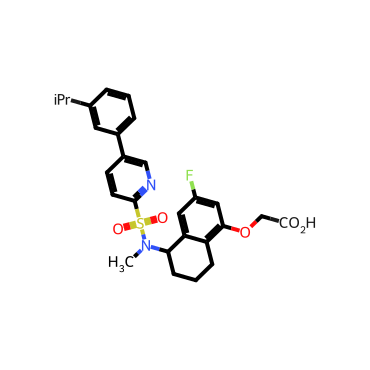 CC(C)c1cccc(-c2ccc(S(=O)(=O)N(C)C3CCCc4c(OCC(=O)O)cc(F)cc43)nc2)c1